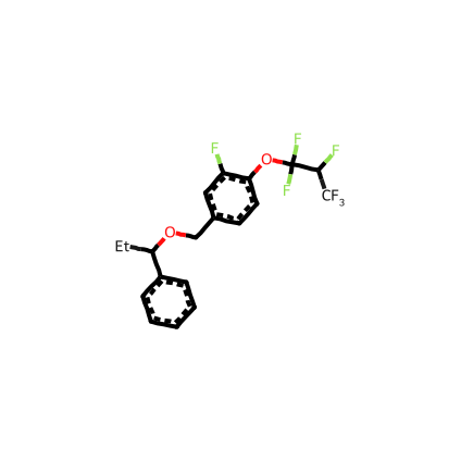 CCC(OCc1ccc(OC(F)(F)C(F)C(F)(F)F)c(F)c1)c1ccccc1